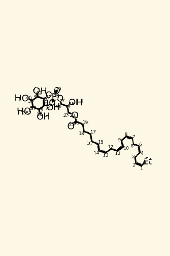 CC/C=C\C/C=C\C/C=C\C/C=C\C/C=C\CCCCCC(=O)OCC(O)COP(=O)(O)OC1C(O)C(O)C(O)C(O)C1O